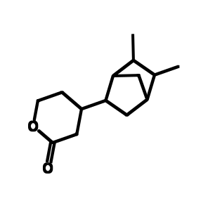 CC1C2CC(C3CCOC(=O)C3)C(C2)C1C